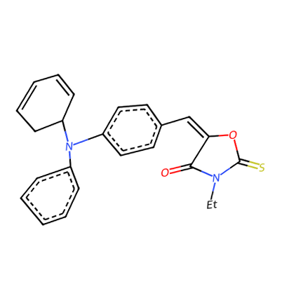 CCN1C(=O)/C(=C\c2ccc(N(c3ccccc3)C3C=CC=CC3)cc2)OC1=S